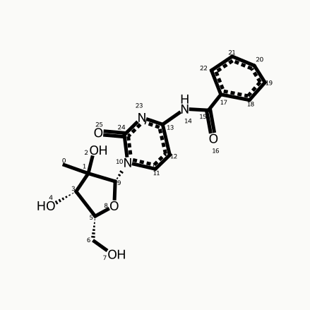 CC1(O)[C@@H](O)[C@@H](CO)O[C@H]1n1ccc(NC(=O)c2ccccc2)nc1=O